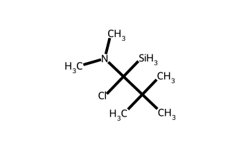 CN(C)C([SiH3])(Cl)C(C)(C)C